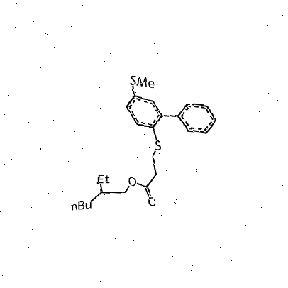 CCCCC(CC)COC(=O)CCSc1ccc(SC)cc1-c1ccccc1